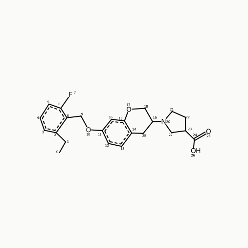 CCc1cccc(F)c1COc1ccc2c(c1)OCC(N1CCC(C(=O)O)C1)C2